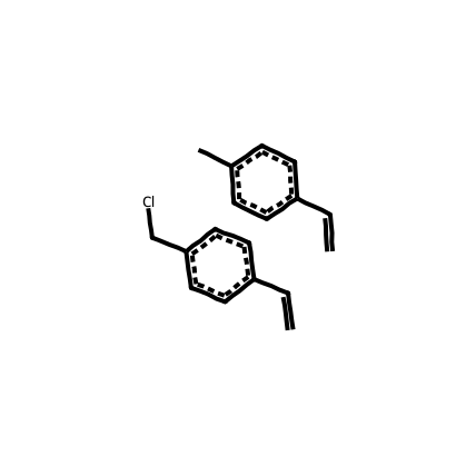 C=Cc1ccc(C)cc1.C=Cc1ccc(CCl)cc1